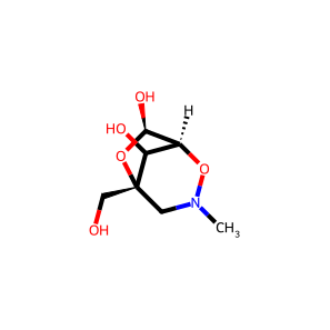 CN1C[C@]2(CO)O[C@@H](O)[C@@H](O1)C2O